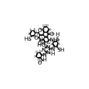 Cn1c(=O)c(C(=O)c2cccc(S)c2)c2c3c(c(Nc4cc(Nc5nc(O)nc(Nc6ccccc6C=O)n5)c(S)cc4S)ccc31)C(=O)c1ccccc1-2